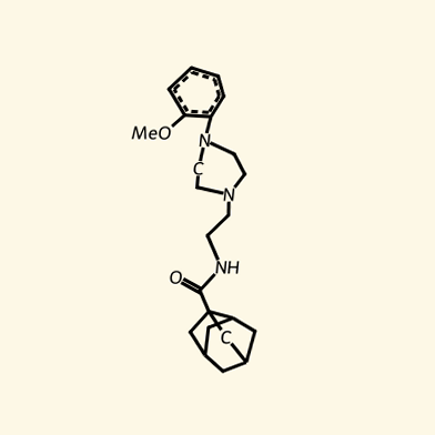 COc1ccccc1N1CCN(CCNC(=O)C23CC4CC(CC2C4)C3)CC1